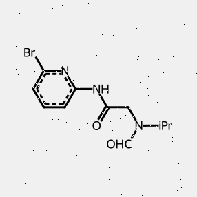 CC(C)N(C=O)CC(=O)Nc1cccc(Br)n1